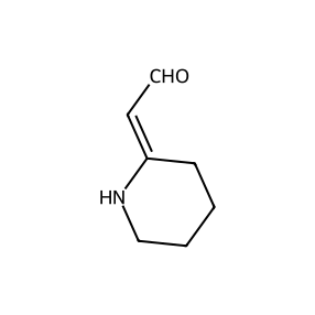 O=CC=C1CCCCN1